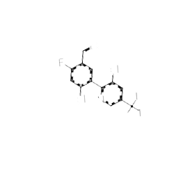 O=Cc1cc(-c2ncc(C(F)(F)F)cc2Cl)c(Cl)cc1F